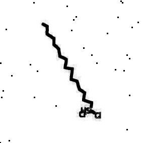 CCCCCCCCCCCCCCCC[SiH](Cl)Cl